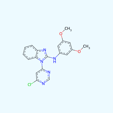 COc1cc(Nc2nc3ccccc3n2-c2cc(Cl)ncn2)cc(OC)c1